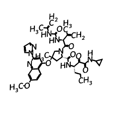 C=C(C)NC(=O)N[C@@H](C(=C)C)C(=O)N1C[C@@](C)(Oc2cc(-n3cccn3)nc3cc(OC)ccc23)C[C@H]1C(=O)N[C@@H](CCC)C(=O)C(=O)NC1CC1